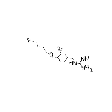 N=C(N)NCC1CCC(COCCCCF)C(Br)C1